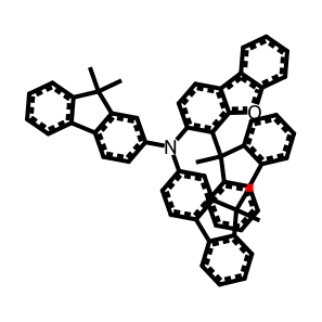 CC1(C)c2ccccc2-c2ccc(N(c3ccc4c(c3)C(C)(C)c3ccccc3-4)c3ccc4c(oc5ccccc54)c3C3(C)c4ccccc4-c4ccccc43)cc21